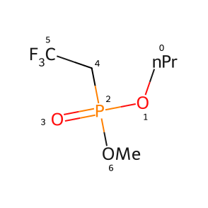 CCCOP(=O)(CC(F)(F)F)OC